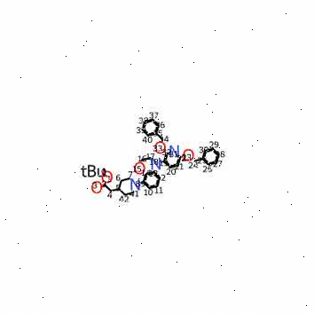 CC(C)(C)OC(=O)CC1CCN(c2cccc3c2OCCN3c2ccc(OCc3ccccc3)nc2OCc2ccccc2)CC1